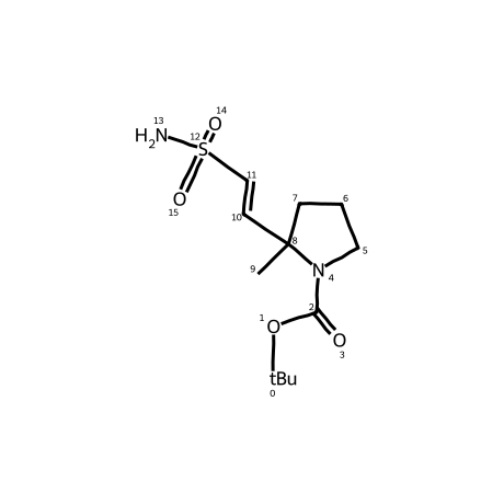 CC(C)(C)OC(=O)N1CCCC1(C)C=CS(N)(=O)=O